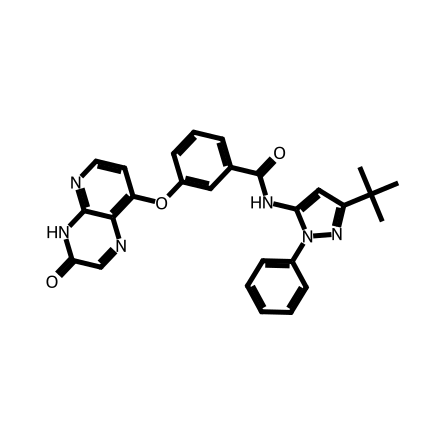 CC(C)(C)c1cc(NC(=O)c2cccc(Oc3ccnc4[nH]c(=O)cnc34)c2)n(-c2ccccc2)n1